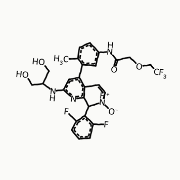 Cc1ccc(NC(=O)COCC(F)(F)F)cc1-c1cc(NC(CO)CO)nc2c1C=C[NH+]([O-])C2c1c(F)cccc1F